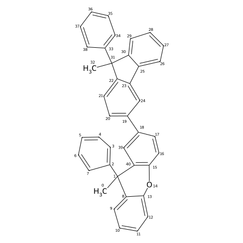 CC1(c2ccccc2)c2ccccc2Oc2ccc(-c3ccc4c(c3)-c3ccccc3C4(C)c3ccccc3)cc21